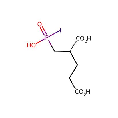 O=C(O)CC[C@H](CP(=O)(O)I)C(=O)O